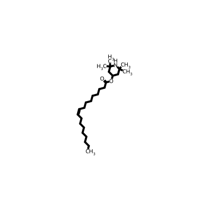 CCCCCCCC/C=C\CCCCCCCC(=O)OC1CC(C)(C)NC(C)(C)C1